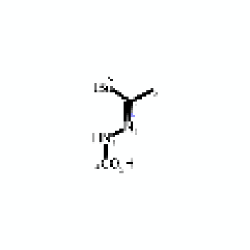 C/C(=N/NC(=O)O)C(C)(C)C